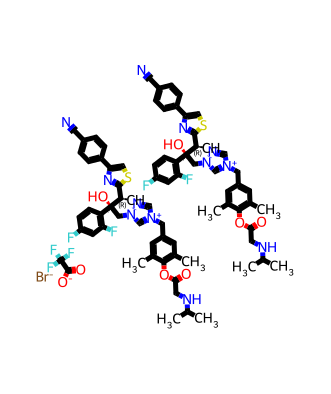 Cc1cc(C[n+]2cnn(C[C@](O)(c3ccc(F)cc3F)[C@@H](C)c3nc(-c4ccc(C#N)cc4)cs3)c2)cc(C)c1OC(=O)CNC(C)C.Cc1cc(C[n+]2cnn(C[C@](O)(c3ccc(F)cc3F)[C@@H](C)c3nc(-c4ccc(C#N)cc4)cs3)c2)cc(C)c1OC(=O)CNC(C)C.O=C([O-])C(F)(F)F.[Br-]